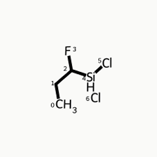 CCC(F)[SiH](Cl)Cl